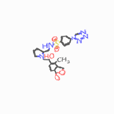 Cc1c([C@H](O)CN2CCCC2CNS(=O)(=O)c2ccc(-n3cnnn3)cc2)ccc2c1COC2=O